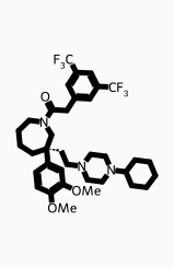 COc1ccc([C@@]2(CCN3CCN(C4CCCCC4)CC3)CCCCN(C(=O)Cc3cc(C(F)(F)F)cc(C(F)(F)F)c3)C2)cc1OC